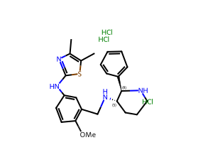 COc1ccc(Nc2nc(C)c(C)s2)cc1CN[C@H]1CCCN[C@@H]1c1ccccc1.Cl.Cl.Cl